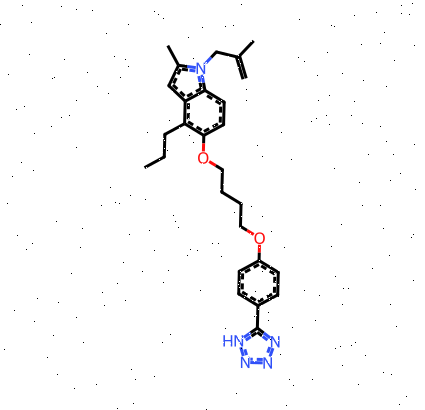 C=C(C)Cn1c(C)cc2c(CCC)c(OCCCCOc3ccc(-c4nnn[nH]4)cc3)ccc21